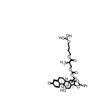 CCCC1O[C@@H]2C[C@H]3[C@@H]4CCC5=CC(=O)C=C[C@]5(C)[C@H]4[C@@H](O)C[C@]3(C)[C@]2(C(=O)COC(=O)OCC(N)C(=O)OCCCCON(O)O)O1